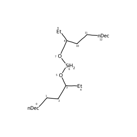 CCCCCCCCCCCCC(CC)O[SiH2]OC(CC)CCCCCCCCCCCC